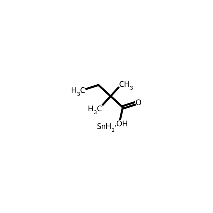 CCC(C)(C)C(=O)O.[SnH2]